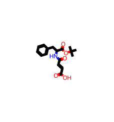 CC(C)(C)OC(=O)C(Cc1ccccc1)NC(=O)/C=C/C(=O)O